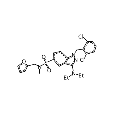 CCN(CC)c1nn(Cc2c(Cl)cccc2Cl)c2ccc(S(=O)(=O)N(C)Cc3ccco3)cc12